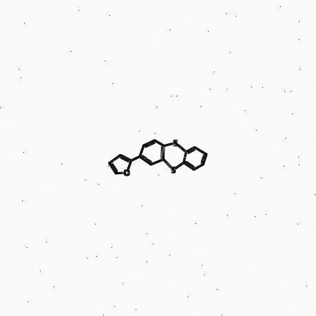 c1coc(-c2ccc3c(c2)Sc2ccccc2S3)c1